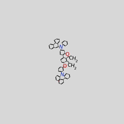 C=Cc1c(Oc2cccc(N(c3ccccc3)c3ccccc3-c3ccccc3)c2)ccc2c1C(=C)Oc1cc(N(c3ccccc3)c3cc4ccccc4c4ccccc34)ccc1-2